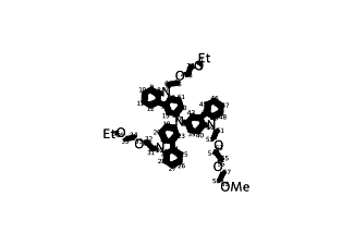 CCOCCOCCn1c2ccccc2c2cc(N(c3ccc4c(c3)c3ccccc3n4CCOCCOCC)c3ccc4c(c3)c3ccccc3n4CCOCCOCCOC)ccc21